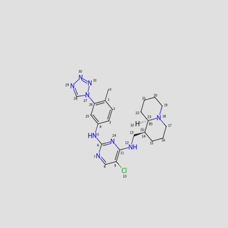 Cc1ccc(Nc2ncc(Cl)c(NC[C@@H]3CCCN4CCCC[C@H]34)n2)cc1-n1cnnn1